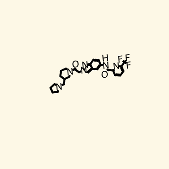 O=C(Nc1ccc2nn(CC(=O)N3CCCC(CN4CCCC4)C3)cc2c1)c1cccc(C(F)(F)F)n1